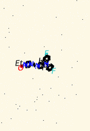 CCC(=O)N1CCN(CCN2CC[C@@H]3[C@@H](C2)c2cc(F)ccc2N3c2ccc(F)cc2)CC1